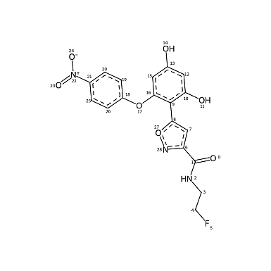 O=C(NCCF)c1cc(-c2c(O)cc(O)cc2Oc2ccc([N+](=O)[O-])cc2)on1